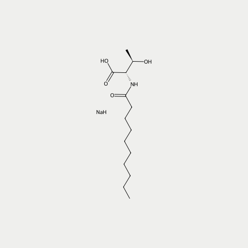 CCCCCCCCCC(=O)N[C@H](C(=O)O)[C@@H](C)O.[NaH]